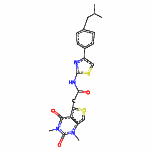 CC(C)Cc1ccc(-c2csc(NC(=O)Cc3scc4c3c(=O)n(C)c(=O)n4C)n2)cc1